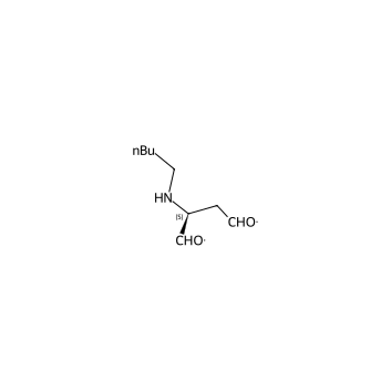 CCCCCN[C@H]([C]=O)C[C]=O